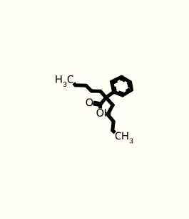 CCCCCC(CCCCC)(C(=O)O)c1ccccc1